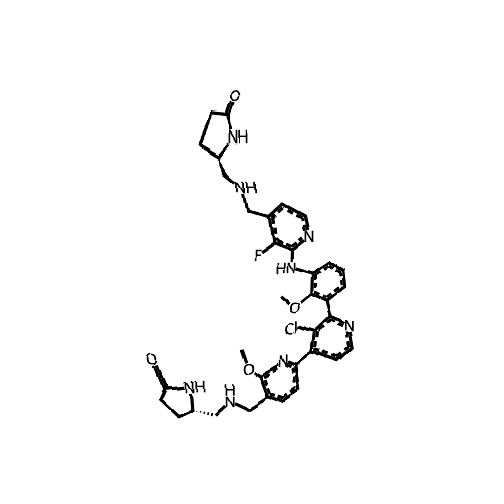 COc1nc(-c2ccnc(-c3cccc(Nc4nccc(CNC[C@H]5CCC(=O)N5)c4F)c3OC)c2Cl)ccc1CNC[C@@H]1CCC(=O)N1